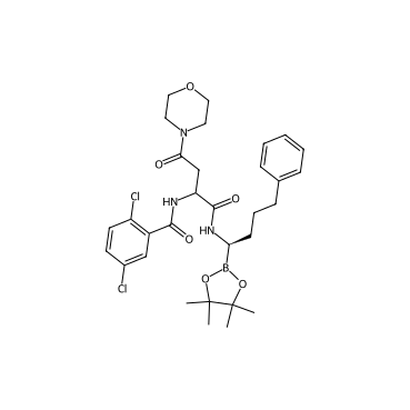 CC1(C)OB([C@H](CCCc2ccccc2)NC(=O)C(CC(=O)N2CCOCC2)NC(=O)c2cc(Cl)ccc2Cl)OC1(C)C